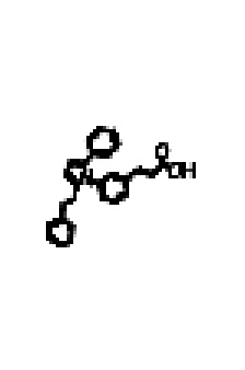 O=C(O)CCc1cccc(-n2c(CCc3ccccc3)ccc2-c2ccccc2)c1